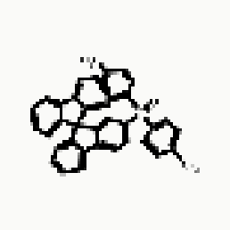 Cc1ccc(P(=O)(c2ccc(C(F)(F)F)cc2)c2ccc3c(c2)C2(c4ccccc4-c4ccccc42)c2ccccc2-3)cc1